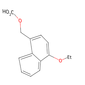 CCOc1ccc(COC(=O)O)c2ccccc12